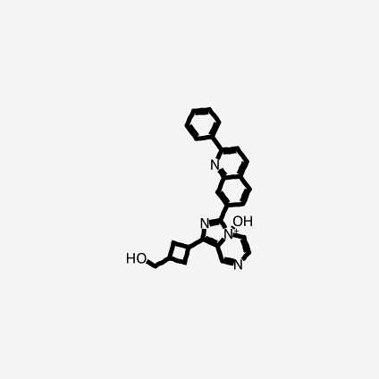 OCC1CC(C2=C3C=NC=C[N+]3(O)C(c3ccc4ccc(-c5ccccc5)nc4c3)=N2)C1